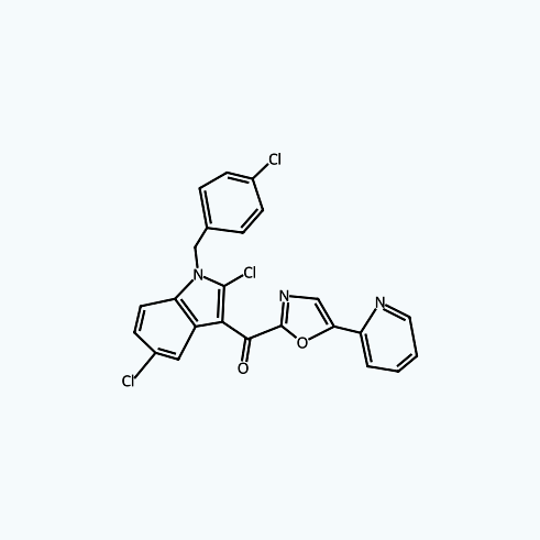 O=C(c1ncc(-c2ccccn2)o1)c1c(Cl)n(Cc2ccc(Cl)cc2)c2ccc(Cl)cc12